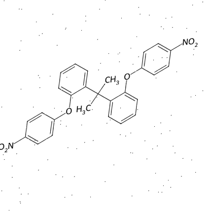 CC(C)(c1ccccc1Oc1ccc([N+](=O)[O-])cc1)c1ccccc1Oc1ccc([N+](=O)[O-])cc1